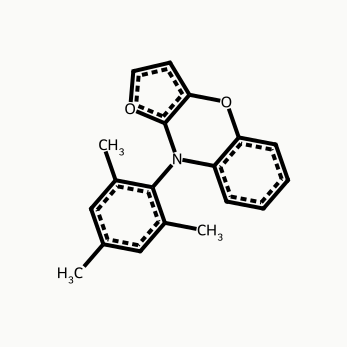 Cc1cc(C)c(N2c3ccccc3Oc3ccoc32)c(C)c1